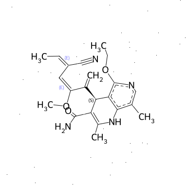 C=C(/C(=C\C(C#N)=C/C)OC)[C@@H]1C(C(N)=O)=C(C)Nc2c(C)cnc(OCC)c21